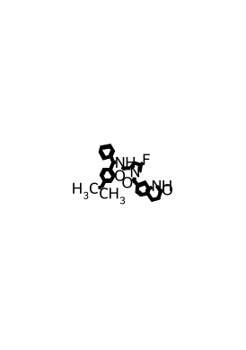 CC(C)c1ccc(C(NC(=O)C2CC(F)CN2C(=O)c2ccc3c(c2)NC(=O)CC3)c2ccccc2)cc1